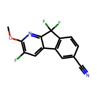 COc1nc2c(cc1F)-c1cc(C#N)ccc1C2(F)F